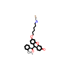 Cc1ccccc1C(=O)c1c2ccc(=O)cc-2oc2cc(OCCCCCCN=C=S)ccc12